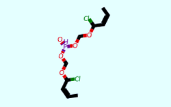 C/C=C\C(Cl)OCO[PH](=O)OCOC(Cl)/C=C\C